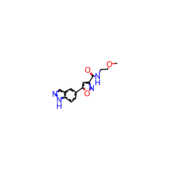 COCCNC(=O)c1cc(-c2ccc3[nH]ncc3c2)on1